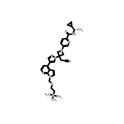 C[C@H](NC(=O)c1ccc(N2CC(CC#N)(n3cc(-c4ccnc5c4ccn5COCC[Si](C)(C)C)cn3)C2)cn1)C1CC1